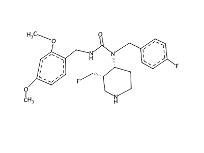 COc1ccc(CNC(=O)N(Cc2ccc(F)cc2)[C@@H]2CCNC[C@@H]2CF)c(OC)c1